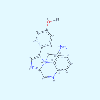 CCOc1ccc(C2=CN=C3C=Nc4ccccc4[N+]23CCN)cc1